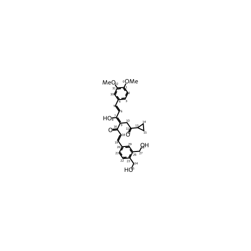 COc1ccc(/C=C/C(O)=C(\CC(=O)C2CC2)C(=O)/C=C/c2ccc(CO)c(CO)c2)cc1OC